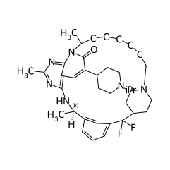 Cc1nc2c3cc(C4CCN(C(C)C)CC4)c(=O)n(c3n1)C(C)CCCCCCN1CCC(CC1)C(F)(F)c1cccc(c1)[C@@H](C)N2